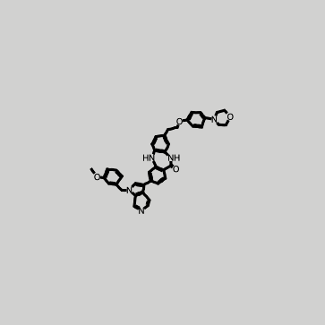 COc1cccc(Cn2cc(-c3ccc4c(c3)Nc3ccc(CCOc5ccc(N6CCOCC6)cc5)cc3NC4=O)c3ccncc32)c1